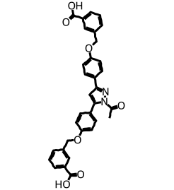 CC(=O)n1nc(-c2ccc(OCc3cccc(C(=O)O)c3)cc2)cc1-c1ccc(OCc2cccc(C(=O)O)c2)cc1